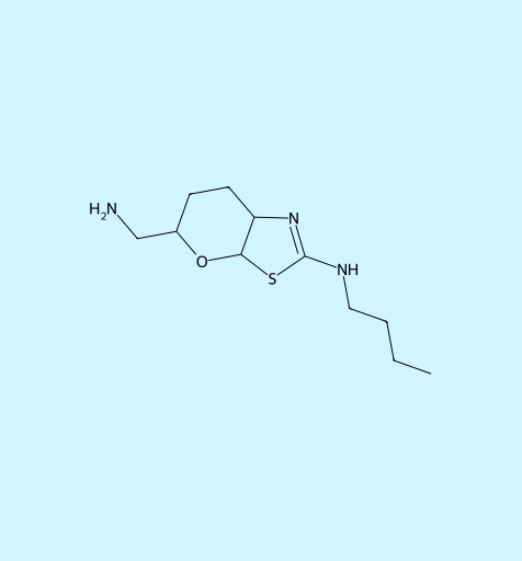 CCCCNC1=NC2CCC(CN)OC2S1